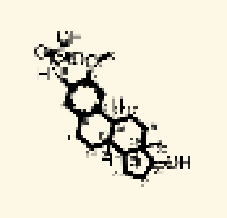 COc1cc2c(cc1NS(=O)(=O)O)CC[C@@H]1[C@@H]2CC[C@]2(C)[C@H](O)CC[C@@H]12